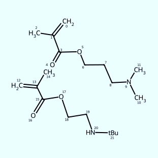 C=C(C)C(=O)OCCCN(C)C.C=C(C)C(=O)OCCNC(C)(C)C